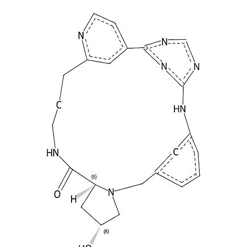 O=C1NCCCc2cc(ccn2)-c2ncnc(n2)Nc2cccc(c2)CN2C[C@H](O)C[C@@H]12